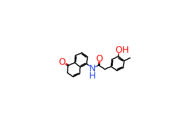 Cc1ccc(CC(=O)Nc2cccc3c2C=CCC3=O)cc1O